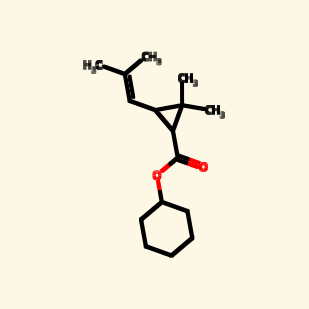 CC(C)=CC1C(C(=O)OC2CCCCC2)C1(C)C